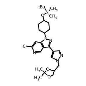 CC1(C)OCC(Cn2cc(-c3nn(C4CCC(O[Si](C)(C)C(C)(C)C)CC4)c4cc(Cl)ncc34)cn2)O1